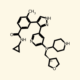 Cc1ccc(C(=O)NC2CC2)cc1-c1c[nH]nc1-c1cncc(N(C[C@H]2CCOC2)C2CCNCC2)c1